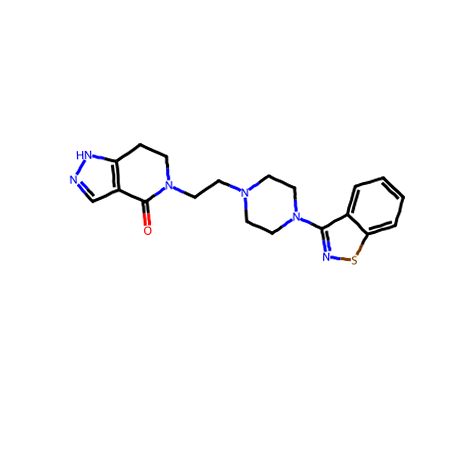 O=C1c2cn[nH]c2CCN1CCN1CCN(c2nsc3ccccc23)CC1